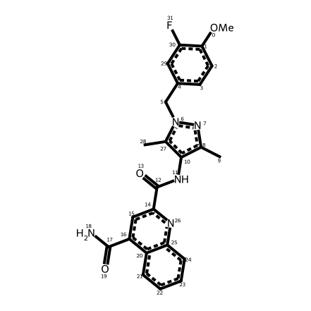 COc1ccc(Cn2nc(C)c(NC(=O)c3cc(C(N)=O)c4ccccc4n3)c2C)cc1F